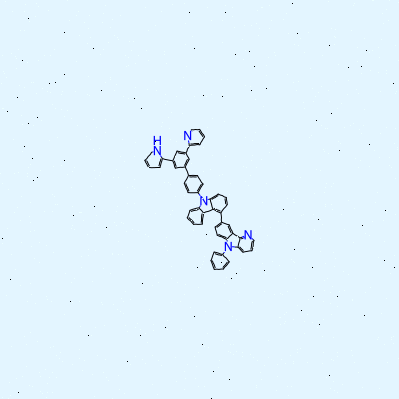 C1=CCNC(c2cc(-c3ccc(-n4c5ccccc5c5c(-c6ccc7c(c6)c6ncccc6n7-c6ccccc6)cccc54)cc3)cc(-c3ccccn3)c2)=C1